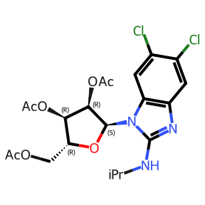 CC(=O)OC[C@H]1O[C@H](n2c(NC(C)C)nc3cc(Cl)c(Cl)cc32)[C@H](OC(C)=O)[C@@H]1OC(C)=O